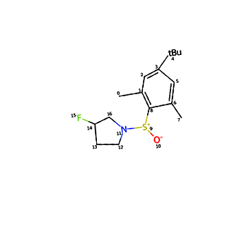 Cc1cc(C(C)(C)C)cc(C)c1[S+]([O-])N1CCC(F)C1